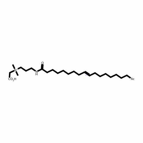 CC(=O)CCCCCCC/C=C/CCCCCCCC(=O)NCCC[N+](C)(C)CC(=O)O